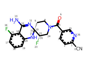 N#Cc1ccc(C(=O)N2CC[C@]3(N=C(N)c4c(F)cccc4N3)[C@@H](F)C2)cn1